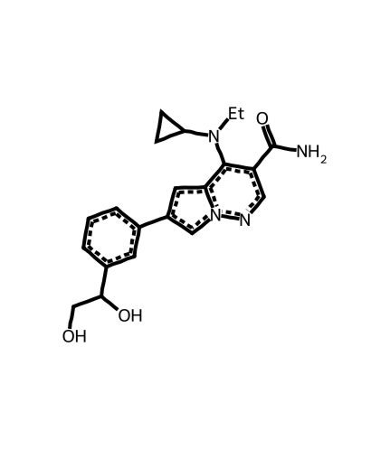 CCN(c1c(C(N)=O)cnn2cc(-c3cccc(C(O)CO)c3)cc12)C1CC1